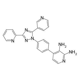 Nc1nccc(-c2ccc(-n3nc(-c4ccccn4)nc3-c3cccnc3)cc2)c1N